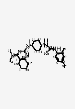 Cc1cc(F)ccc1NC(=S)N[C@H]1CC[C@@H](Nc2nc3c(c(N(C)C)n2)CCCC3)CC1